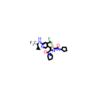 O=C(NC1CCCC1)c1nc(C(=O)N2C3CCC2CC3)c(-c2cnc(N[C@@H](C3CC3)C(F)(F)F)cc2C(F)F)s1